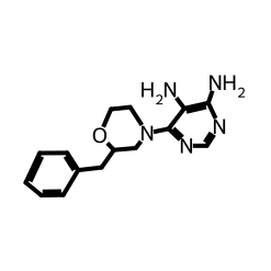 Nc1ncnc(N2CCOC(Cc3ccccc3)C2)c1N